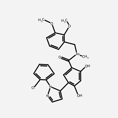 COc1cccc(C[As](C)C(=O)c2cc(-c3ccnn3-c3ccccc3Cl)c(O)cc2O)c1OC